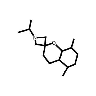 CC1CCC(C)C2OC3(CCC12)CN(C(C)C)C3